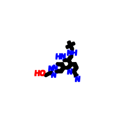 CC(C)(C)CN/C=C(\C=N)c1ccc(C#N)nc1-c1ccn2nc(CO)nc2c1